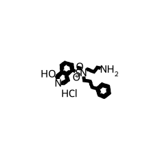 Cl.NCCCN(CCCc1ccccc1)S(=O)(=O)c1cccc2c(O)nccc12